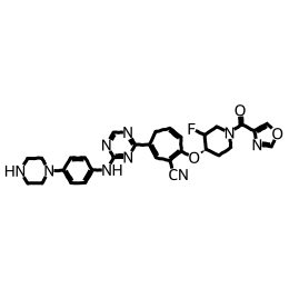 N#CC1=C(O[C@H]2CCN(C(=O)c3cocn3)CC2F)C=CCC(c2ncnc(Nc3ccc(N4CCNCC4)cc3)n2)=C1